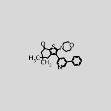 CC1(C)CC(=O)c2sc(N3CCOCC3)c(-c3cncc(-c4ccccc4)c3)c2C1